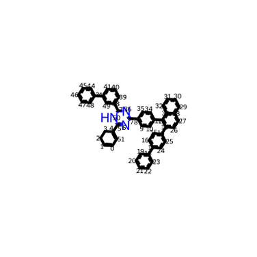 C1=CCCC(C2=NC(c3ccc(-c4c(-c5ccc(-c6ccccc6)cc5)ccc5ccccc45)cc3)=NC(c3cccc(-c4ccccc4)c3)N2)=C1